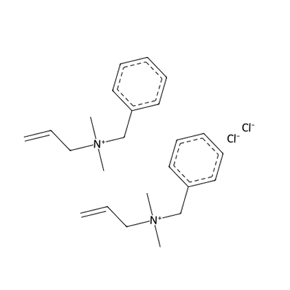 C=CC[N+](C)(C)Cc1ccccc1.C=CC[N+](C)(C)Cc1ccccc1.[Cl-].[Cl-]